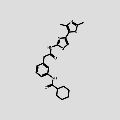 Cc1nc(C)c(-c2csc(NC(=O)Cc3cccc(NC(=O)C4CCCCC4)c3)n2)s1